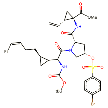 C=C[C@@H]1C[C@]1(NC(=O)[C@@H]1C[C@H](OS(=O)(=O)c2ccc(Br)cc2)CN1C(=O)[C@@H](NC(=O)OC(C)(C)C)C1C[C@H]1CC/C=C\CC)C(=O)OC